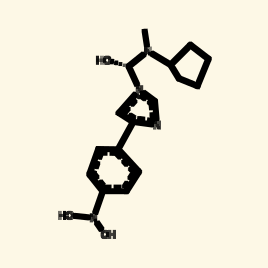 CN(C1CCCC1)[C@@H](O)n1cnc(-c2ccc(N(O)O)cc2)c1